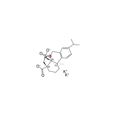 CC(C)c1ccc2c(c1)CC[C@H]1[C@@](CS(=O)(=O)[O-])(C(=O)[O-])CCC[C@]21C.[K+].[K+]